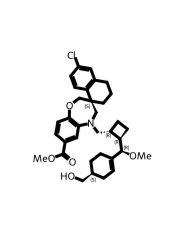 COC(=O)c1ccc2c(c1)N(C[C@@H]1CC[C@H]1[C@@H](OC)C1=CC[C@@H](CO)CC1)C[C@@]1(CCCc3cc(Cl)ccc31)CO2